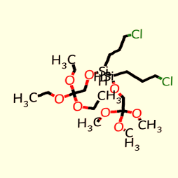 CCOC(CO[SiH](CCCCl)[SiH](CCCCl)OCC(OC)(OC)OC)(OCC)OCC